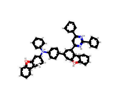 c1ccc(-c2cc(-c3cc(-c4ccc(N(c5ccccc5)c5ccc6c(c5)oc5ccccc56)cc4)cc4oc5ccccc5c34)nc(-c3ccccc3)n2)cc1